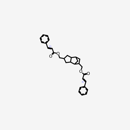 O=C(/C=C/c1ccccc1)OCC1CC2C3CC(COC(=O)/C=C/c4ccccc4)C(C3)C2C1